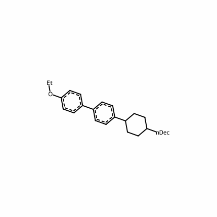 CCCCCCCCCCC1CCC(c2ccc(-c3ccc(OCC)cc3)cc2)CC1